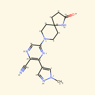 Cn1cc(-c2nc(N3CCC4(CCC(=O)N4)CC3)cnc2C#N)cn1